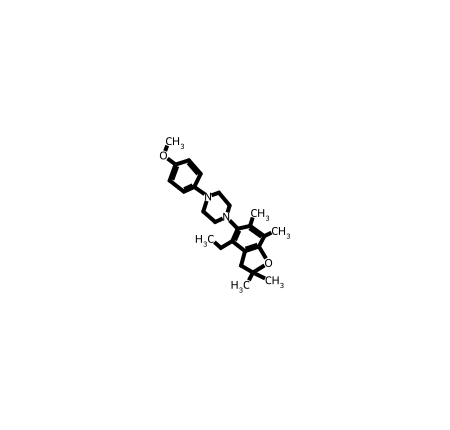 CCc1c2c(c(C)c(C)c1N1CCN(c3ccc(OC)cc3)CC1)OC(C)(C)C2